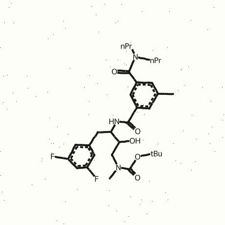 CCCN(CCC)C(=O)c1cc(C)cc(C(=O)NC(Cc2cc(F)cc(F)c2)C(O)CN(C)C(=O)OC(C)(C)C)c1